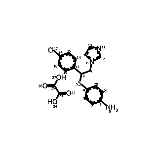 Nc1ccc(SC(Cn2ccnc2)c2ccc(Cl)cc2)cc1.O=C(O)C(=O)O